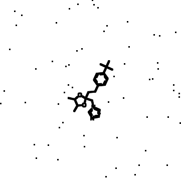 CC1OC(CCc2ccc(C(C)(C)C)cc2)(Cn2ccnc2)OC1C